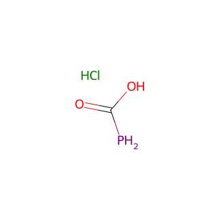 Cl.O=C(O)P